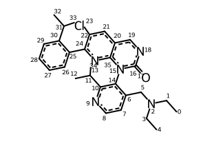 CCN(CC)Cc1ccnc(C(C)C)c1-n1c(=O)ncc2cc(Cl)c(-c3ccccc3C(C)C)nc21